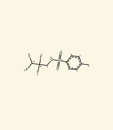 Cc1ccc(S(=O)(=O)OCC(F)(F)C(F)F)cc1